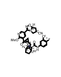 COc1ncc(C2=NO[C@H]3C[C@H](C#N)CN23)cc1C(=O)N[C@H]1[C@@H](C(=O)Nc2ccc(F)c(C(F)(F)F)c2)[C@H]2CC[C@@H]1/C2=C\C1CC1